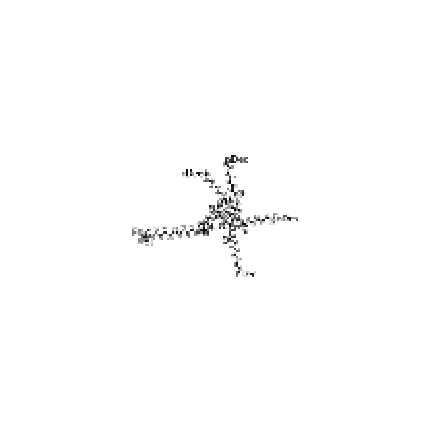 CCCCCCCCCCCCCCCCCC(=O)OCC(C)(COC(=O)CCCCCCCCCCCCCCCCC)C(=O)OCC(C)(COC(=O)C(C)(COC(=O)CCCCCCCCCCCCCCCCC)COC(=O)CCCCCCCCCCCCCCCCC)C(=O)OCc1cn(CCCCCCCCCCCSC(C)(CC)CC)nn1